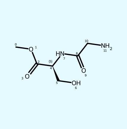 COC(=O)[C@H](CO)NC(=O)CN